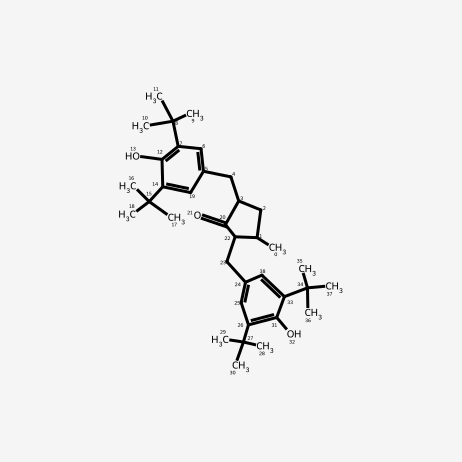 CC1CC(Cc2cc(C(C)(C)C)c(O)c(C(C)(C)C)c2)C(=O)C1Cc1cc(C(C)(C)C)c(O)c(C(C)(C)C)c1